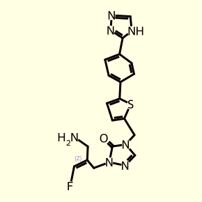 NC/C(=C/F)Cn1ncn(Cc2ccc(-c3ccc(-c4nnc[nH]4)cc3)s2)c1=O